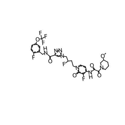 COC1CCCN(C(=O)C(=O)Nc2ccn(CCC(F)Cn3cc(C(=O)NCc4cc(OC(F)(F)F)ccc4F)nn3)c(=O)c2F)C1